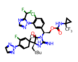 CC(C)(C)C[C@]1(C2(C)C=C(F)C(n3nccn3)=CC2)NC(=N)N([C@H](COC(=O)NC2(C(F)(F)F)CC2)c2ccc(Cl)c(-n3ncnc3C(F)F)c2)C1=O